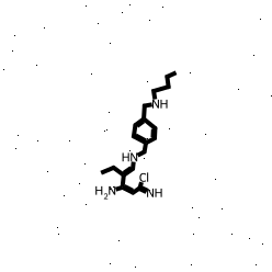 CCCCNCc1ccc(CN/C=C(CC)/C(N)=C\C(=N)Cl)cc1